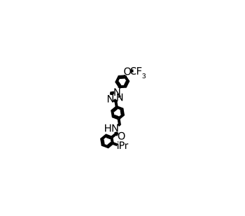 CC(C)c1ccccc1C(=O)NCc1ccc(-c2ncn(-c3ccc(OC(F)(F)F)cc3)n2)cc1